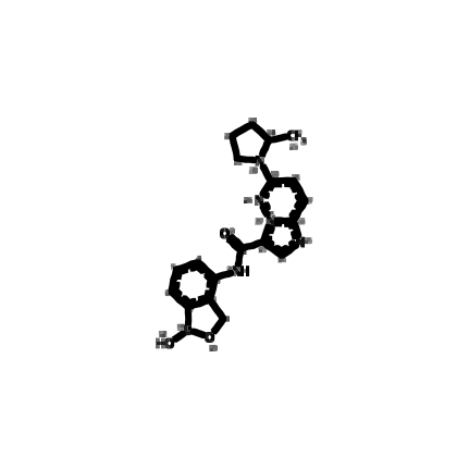 O=C(Nc1cccc2c1COB2O)c1cnc2ccc(N3CCCC3C(F)(F)F)nn12